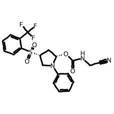 N#CCNC(=O)O[C@H]1C[C@@H](S(=O)(=O)c2ccccc2C(F)(F)F)CN1c1ccccc1